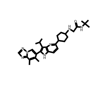 Cc1c(-c2[nH]c3ccc(C4CCC(NCC(=O)NC(C)(C)C)CC4)nc3c2C(C)C)cn2ncnc2c1C